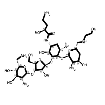 NCC[C@H](O)C(=O)N[C@@H]1C[C@H](N)[C@@H](O[C@H]2O[C@H](CNCCO)C[C@@H](O)[C@H]2N)[C@H](O[C@@H]2O[C@H](CO)[C@@H](O[C@H]3O[C@@H](CN)[C@@H](O)[C@H](O)[C@H]3N)[C@H]2O)[C@H]1O